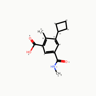 CNC(=O)c1cc(C(=O)O)c(C)c(C2CCC2)c1